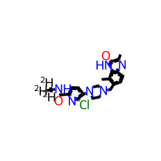 [2H]C([2H])([2H])NC(=O)c1ccc(N2CCN(Cc3ccc4nc(C)c(=O)[nH]c4c3C)CC2)c(Cl)n1